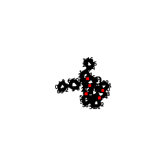 c1ccc(-c2ccc(N(c3ccc(-c4ccccc4)cc3)c3ccc4c(c3)[Si]3(c5ccccc5Oc5ccccc53)c3ccccc3[Si]4(c3ccccc3)c3ccccc3)cc2)cc1